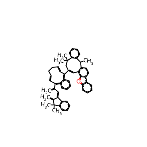 C=C(/C=C1\C(=C)C(C)(C)c2ccccc21)C1=c2/cccc/c2=C(\C2=C\c3c(ccc4c3oc3ccccc34)C(C)c3ccccc3C(C)(C)C2)/C=C/CC/C=C/1